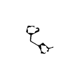 Cc1cc(Cc2ccsc2)cs1